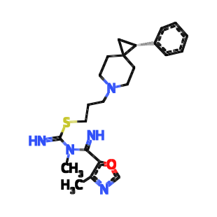 Cc1ncoc1C(=N)N(C)C(=N)SCCCN1CCC2(CC1)C[C@@H]2c1ccccc1